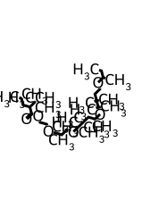 CCC(C)OCCC(C)(C)C(C)(C)OC(C)CC(C)(C)C(C)(C)OCCC(C)(C)OCCOC(=O)C(CC(C)C)C(C)(C)C